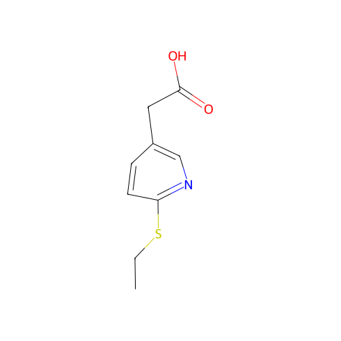 CCSc1ccc(CC(=O)O)cn1